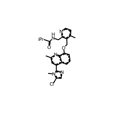 Cc1cc(-c2ncc(Cl)n2C)c2cccc(OCc3c(C)ccnc3CNC(=O)C(C)C)c2n1